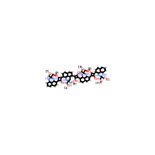 CCCOCC1(COCC)Nc2cccc3ccc(C4C(O)C(c5ccc6ccc(C7C(O)C(c8ccc9ccc(C%10C(O)C(c%11ccc%12cccc%13c%12c%11NC(COCC)(COCC)N%13)C%10O)c%10c9c8CC(COCC)(NOCC)N%10)C7O)c7c6c5NC(COCC)(COCC)N7)C4O)c(c23)N1